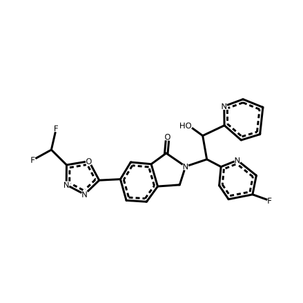 O=C1c2cc(-c3nnc(C(F)F)o3)ccc2CN1C(c1ccc(F)cn1)C(O)c1ccccn1